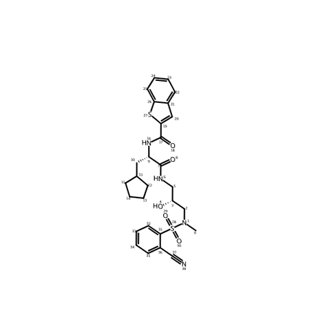 CN(C[C@H](O)CNC(=O)[C@H](CC1CCCC1)NC(=O)c1cc2ccccc2s1)S(=O)(=O)c1ccccc1C#N